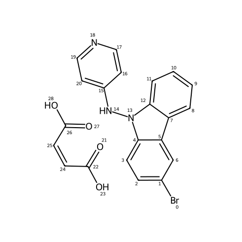 Brc1ccc2c(c1)c1ccccc1n2Nc1ccncc1.O=C(O)/C=C\C(=O)O